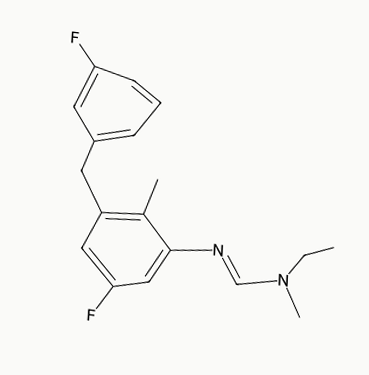 CCN(C)/C=N/c1cc(F)cc(Cc2cccc(F)c2)c1C